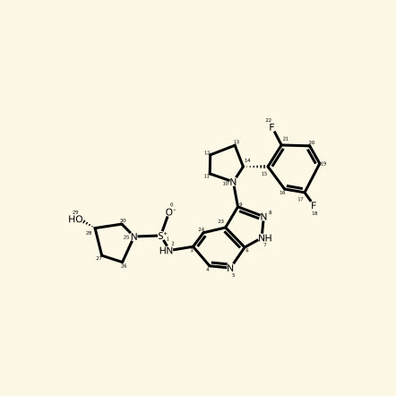 [O-][S+](Nc1cnc2[nH]nc(N3CCC[C@@H]3c3cc(F)ccc3F)c2c1)N1CC[C@H](O)C1